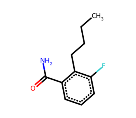 CCCCc1c(F)cccc1C(N)=O